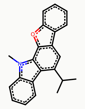 CC(C)c1cc2c3ccccc3oc2c2c1c1ccccc1n2C